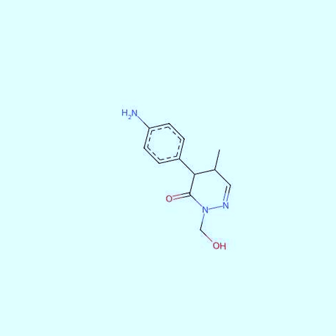 CC1C=NN(CO)C(=O)C1c1ccc(N)cc1